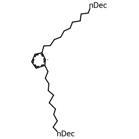 CCCCCCCCCCCCCCCCCCCCc1[c]c(CCCCCCCCCCCCCCCCCCCC)ccc1